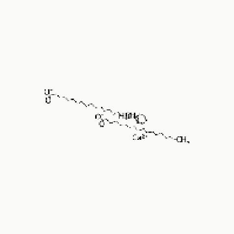 CCCCCCCCCCCCCCCCCC(=O)[O-].CCCCCCCCCCCCCCCCCC(=O)[O-].Cc1ccccc1.[Ca+2]